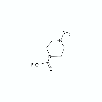 NN1CCN(C(=O)C(F)(F)F)CC1